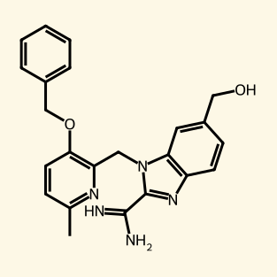 Cc1ccc(OCc2ccccc2)c(Cn2c(C(=N)N)nc3ccc(CO)cc32)n1